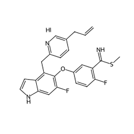 C=CCc1ccc(Cc2c(Oc3ccc(F)c(C(=N)SC)c3)c(F)cc3[nH]ccc23)nc1.I